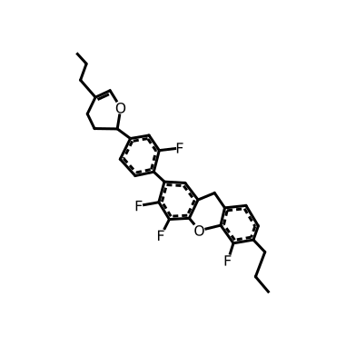 CCCC1=COC(c2ccc(-c3cc4c(c(F)c3F)Oc3c(ccc(CCC)c3F)C4)c(F)c2)CC1